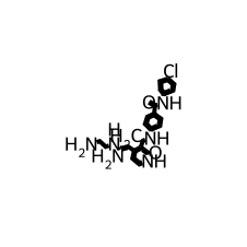 C=C(Nc1ccc(C(=O)Nc2ccc(Cl)cc2)cc1)c1c(/C=C(\N)NCCN)cc[nH]c1=O